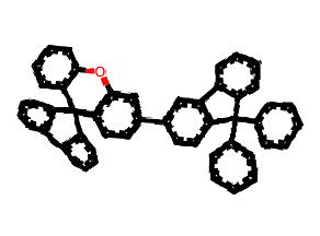 c1ccc(C2(c3ccccc3)c3ccccc3-c3cc(-c4ccc5c(c4)Oc4ccccc4C54c5ccccc5-c5ccccc54)ccc32)cc1